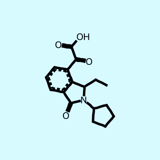 CCC1c2c(C(=O)C(=O)O)cccc2C(=O)N1C1CCCC1